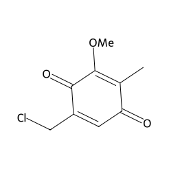 COC1=C(C)C(=O)C=C(CCl)C1=O